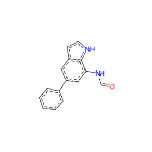 O=CNc1cc(-c2ccccc2)cc2cc[nH]c12